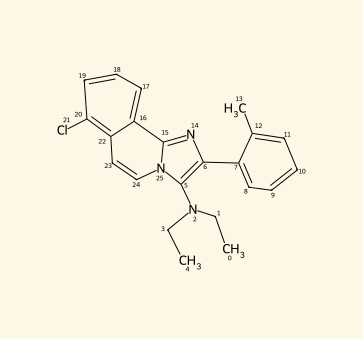 CCN(CC)c1c(-c2ccccc2C)nc2c3cccc(Cl)c3ccn12